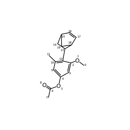 COc1cc(OC(C)=O)cc(C)c1C1CC2C=CC1C2